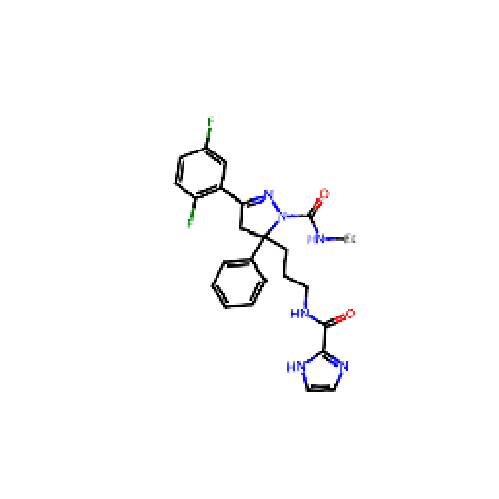 CCNC(=O)N1N=C(c2cc(F)ccc2F)CC1(CCCNC(=O)c1ncc[nH]1)c1ccccc1